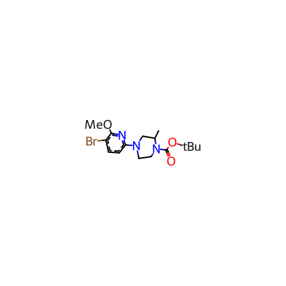 COc1nc(N2CCN(C(=O)OC(C)(C)C)C(C)C2)ccc1Br